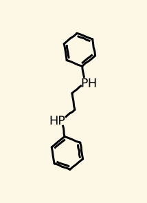 c1ccc(PCCPc2ccccc2)cc1